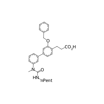 CCCCCNC(=O)N(C)c1cccc(-c2ccc(CCC(=O)O)c(OCc3ccccc3)c2)c1